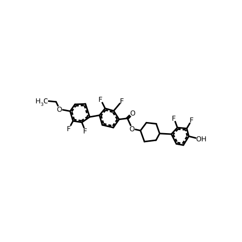 CCOc1ccc(-c2ccc(C(=O)OC3CCC(c4ccc(O)c(F)c4F)CC3)c(F)c2F)c(F)c1F